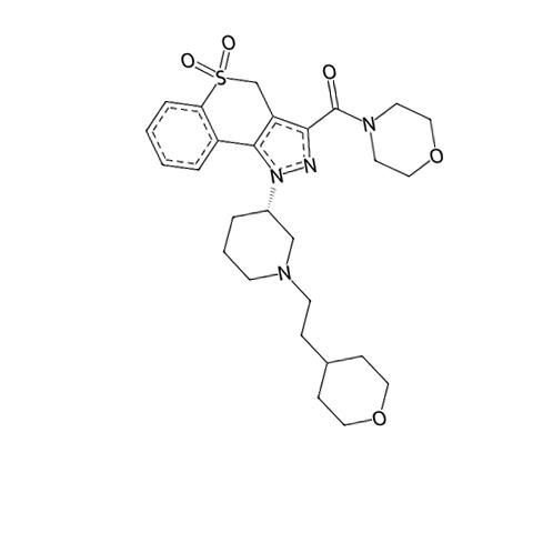 O=C(c1nn([C@H]2CCCN(CCC3CCOCC3)C2)c2c1CS(=O)(=O)c1ccccc1-2)N1CCOCC1